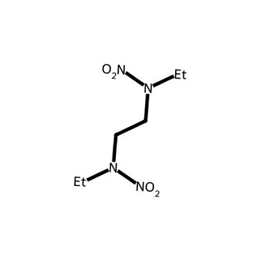 CCN(CCN(CC)[N+](=O)[O-])[N+](=O)[O-]